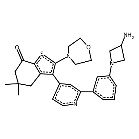 CC1(C)CC(=O)c2sc(N3CCOCC3)c(-c3ccnc(-c4cccc(N5CC(N)C5)c4)c3)c2C1